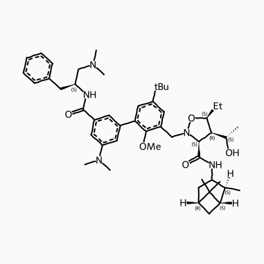 CC[C@@H]1ON(Cc2cc(C(C)(C)C)cc(-c3cc(C(=O)N[C@@H](Cc4ccccc4)CN(C)C)cc(N(C)C)c3)c2OC)[C@H](C(=O)NC2C[C@H]3C[C@@H]([C@@H]2C)C3(C)C)[C@@H]1[C@H](C)O